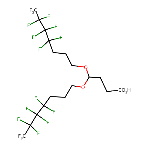 O=C(O)CCC(OCCCC(F)(F)C(F)(F)C(F)(F)C(F)(F)F)OCCCC(F)(F)C(F)(F)C(F)(F)C(F)(F)F